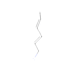 CC/C=C/C=C/CN